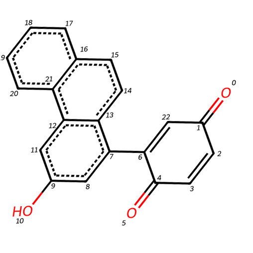 O=C1C=CC(=O)C(c2cc(O)cc3c2ccc2ccccc23)=C1